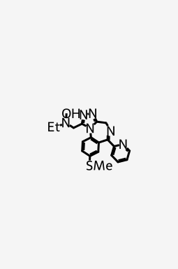 CCN(O)Cc1nnc2n1-c1ccc(SC)cc1C(c1ccccn1)=NC2